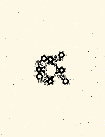 O=S(=O)(NC1CCCCC1)c1cccc2c1-c1nc-2nc2[nH]c(nc3nc(nc4[nH]c(n1)c1cccc(S(=O)(=O)NC5CCCCC5)c41)-c1cccc(S(=O)(=O)NC4CCCCC4)c1-3)c1cccc(S(=O)(=O)NC3CCCCC3)c21